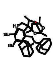 CC12CC3(C)OC(C)(CC(C)(O1)C3(CP)c1cc(C(C)(C)C)c(C(C)(C)C)cc1CP(C13CC4CC(CC(C4)C1)C3)C13CC4CC(CC(C4)C1)C3)O2